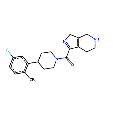 O=C(C1=NCC2=C1CCNC2)N1CCC(c2cc(F)ccc2C(F)(F)F)CC1